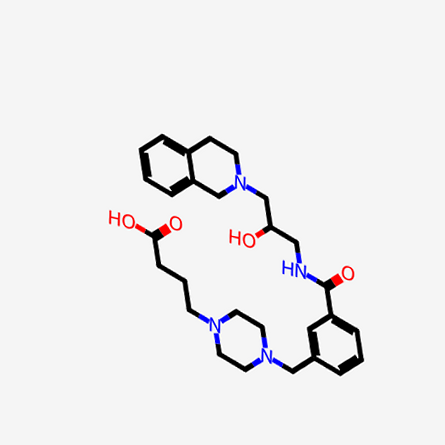 O=C(O)CCCN1CCN(Cc2cccc(C(=O)NCC(O)CN3CCc4ccccc4C3)c2)CC1